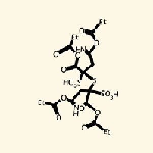 CCC(=O)OC(=N)CC(SC(CC(=N)OC(=O)CC)(C(=O)OC(=O)CC)S(=O)(=O)O)(C(=O)OC(=O)CC)S(=O)(=O)O